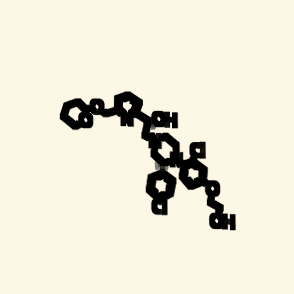 OCCOc1ccc(N2CCN(C[C@@H](O)c3cccc(COC4CCCCO4)n3)C[C@H]2c2ccc(Cl)cc2)c(Cl)c1